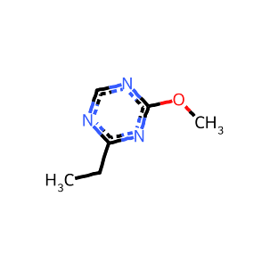 CCc1ncnc(OC)n1